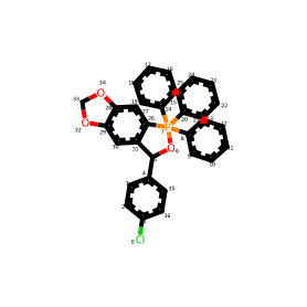 Clc1ccc(C2OP(c3ccccc3)(c3ccccc3)(c3ccccc3)c3cc4c(cc32)OCO4)cc1